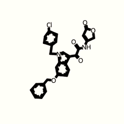 O=C1C=C(NC(=O)C(=O)c2cn(Cc3ccc(Cl)cc3)c3cc(OCc4ccccc4)ccc23)CO1